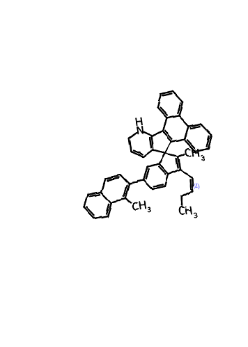 CC/C=C\C1=C(C)C2(C3=C(NCC=C3)c3c2c2ccccc2c2ccccc32)c2cc(-c3ccc4ccccc4c3C)ccc21